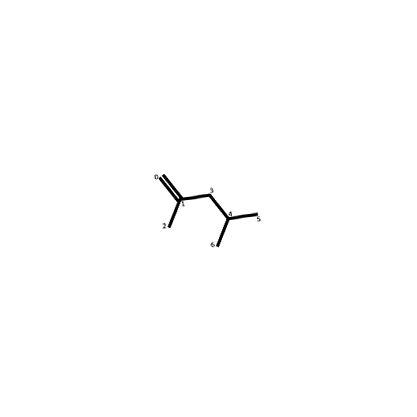 [CH]=C(C)CC(C)C